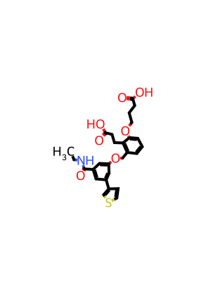 CCNC(=O)c1cc(OCc2cccc(OCCCC(=O)O)c2CCC(=O)O)cc(-c2ccsc2)c1